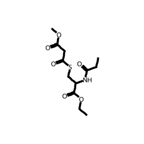 CCOC(=O)C(CSC(=O)CC(=O)OC)NC(=O)CC